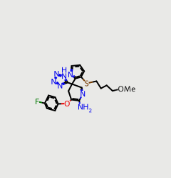 COCCCCSc1cccnc1C1(c2nnn[nH]2)C=NC(N)=C(Oc2ccc(F)cc2)C1